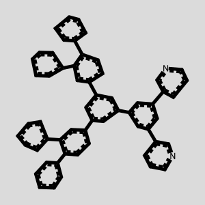 c1ccc(-c2ccc(-c3cc(-c4cc(-c5cccnc5)cc(-c5cccnc5)c4)cc(-c4ccc(-c5ccccc5)c(-c5ccccc5)c4)c3)cc2-c2ccccc2)cc1